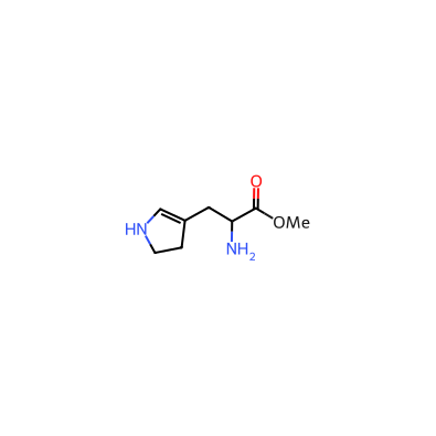 COC(=O)C(N)CC1=CNCC1